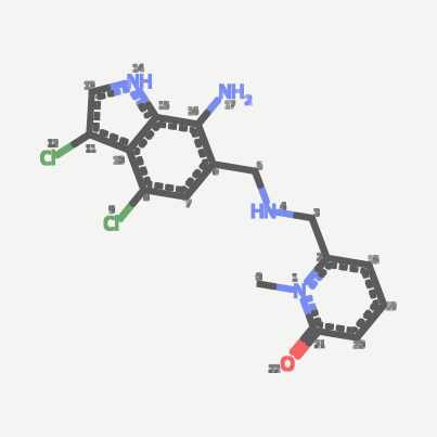 Cn1c(CNCc2cc(Cl)c3c(Cl)c[nH]c3c2N)cccc1=O